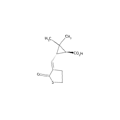 CC1(C)[C@@H](/C=C2\CCSC2=O)[C@@H]1C(=O)O